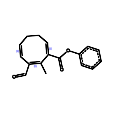 CC1=C(C=O)/C=C\CC/C=C\1C(=O)Oc1ccccc1